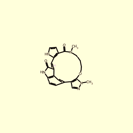 CN1CCCOc2c(cnn2C)-c2ccc3c(c2)/C(=C/c2[nH]ccc2C1=O)C(=O)N3